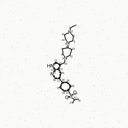 CCN1CCN(C2CCN(Cc3c[nH]c4ncc(-c5ccc(S(=O)(=O)C(C)C)cc5)cc34)CC2)CC1